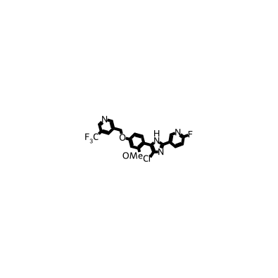 COc1cc(OCc2cncc(C(F)(F)F)c2)ccc1-c1[nH]c(-c2ccc(F)nc2)nc1Cl